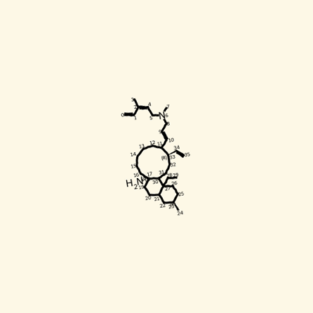 C=CC(C)=CCN(C)CC=CC1CCCCC[C@]2(N)CCC3C[C@H](C)CCC3(CC)C2CC[C@@H]1C=C